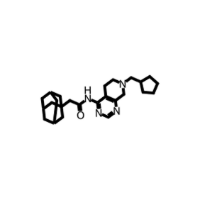 O=C(CC12CC3CC(CC(C3)C1)C2)Nc1ncnc2c1CCN(CC1CCCC1)C2